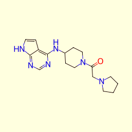 O=C(CN1CCCC1)N1CCC(Nc2ncnc3[nH]ccc23)CC1